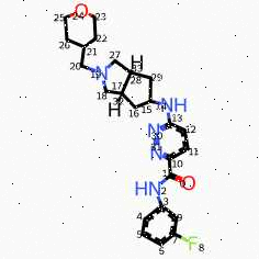 O=C(Nc1cccc(F)c1)c1ccc(NC2C[C@@H]3CN(CC4CCOCC4)C[C@@H]3C2)nn1